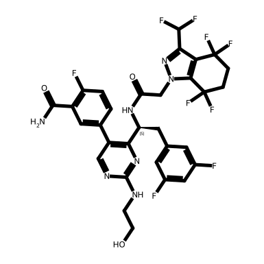 NC(=O)c1cc(-c2cnc(NCCO)nc2[C@H](Cc2cc(F)cc(F)c2)NC(=O)Cn2nc(C(F)F)c3c2C(F)(F)CCC3(F)F)ccc1F